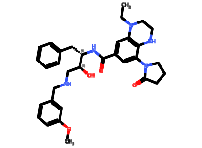 CCN1CCNc2c1cc(C(=O)N[C@@H](Cc1ccccc1)[C@@H](O)CNCc1cccc(OC)c1)cc2N1CCCC1=O